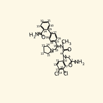 CN(C(=O)CN(CC(N)=O)c1ccc(Cl)c(Cl)c1)[C@@H](CN1CCCC1)c1ccc(-c2ccccc2C(N)=O)cc1